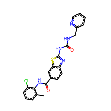 Cc1cccc(Cl)c1NC(=O)c1ccc2nc(NC(=O)NCc3ccccn3)sc2c1